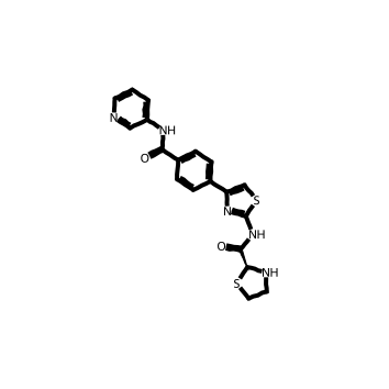 O=C(Nc1cccnc1)c1ccc(-c2csc(NC(=O)[C@H]3NCCS3)n2)cc1